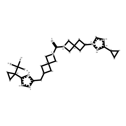 O=C(N1CC2(CC(Cc3nnc(C4(C(F)(F)F)CC4)o3)C2)C1)N1CC2(CC(n3cnc(C4CC4)n3)C2)C1